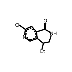 CCC1CNC(=O)c2cc(Cl)ncc21